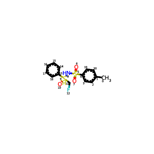 Cc1ccc(S(=O)(=O)N[SH](=O)(CF)c2ccccc2)cc1